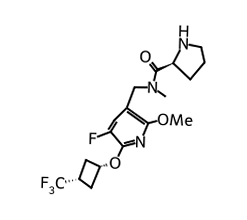 COc1nc(O[C@H]2C[C@@H](C(F)(F)F)C2)c(F)cc1CN(C)C(=O)[C@@H]1CCCN1